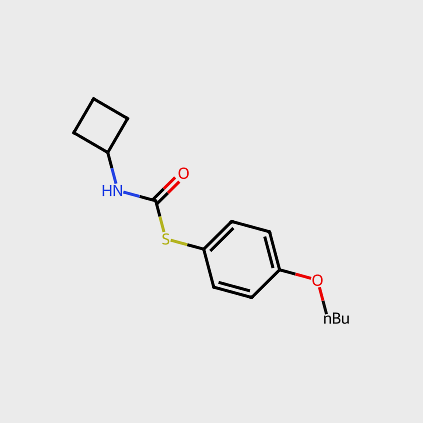 CCCCOc1ccc(SC(=O)NC2CCC2)cc1